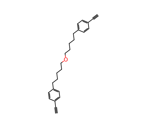 C#Cc1ccc(CCCCCOCCCCCc2ccc(C#C)cc2)cc1